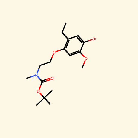 CCc1cc(Br)c(OC)cc1OCCN(C)C(=O)OC(C)(C)C